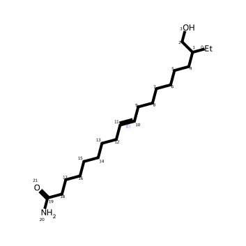 CCC(CO)CCCCCC/C=C/CCCCCCCC(N)=O